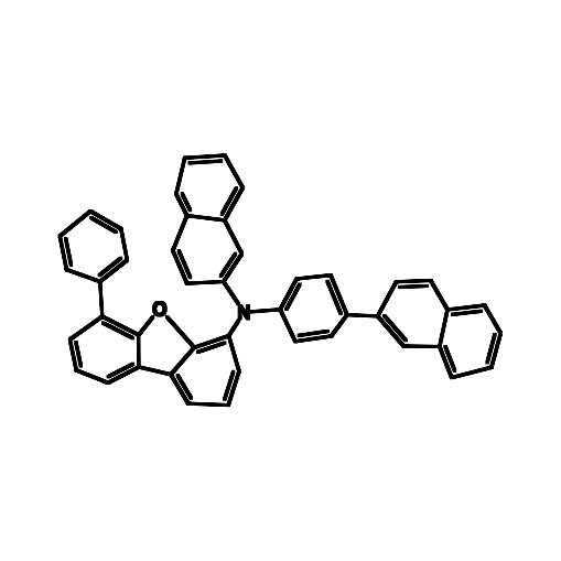 c1ccc(-c2cccc3c2oc2c(N(c4ccc(-c5ccc6ccccc6c5)cc4)c4ccc5ccccc5c4)cccc23)cc1